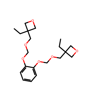 CCC1(COCOc2ccccc2OCOCC2(CC)COC2)COC1